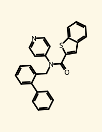 O=C(c1cc2ccccc2s1)N(Cc1ccccc1-c1ccccc1)c1ccncc1